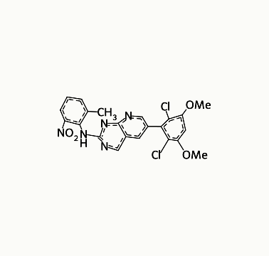 COc1cc(OC)c(Cl)c(-c2cnc3nc(Nc4c(C)cccc4[N+](=O)[O-])ncc3c2)c1Cl